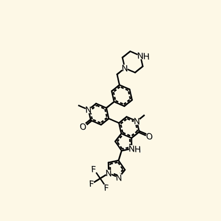 Cn1cc(-c2cccc(CN3CCNCC3)c2)c(-c2cn(C)c(=O)c3[nH]c(-c4cnn(C(F)(F)F)c4)cc23)cc1=O